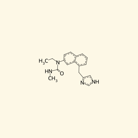 CCN(C(=O)NC)c1ccc2cccc(Cc3c[nH]cn3)c2c1